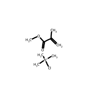 C=C(C)C(=O)OC.C[N+](C)(C)Cl